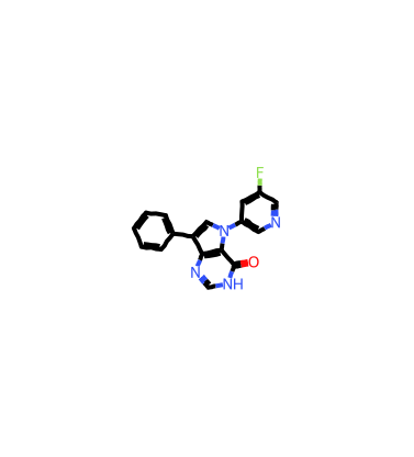 O=c1[nH]cnc2c(-c3ccccc3)cn(-c3cncc(F)c3)c12